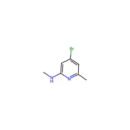 CNc1cc(Br)cc(C)n1